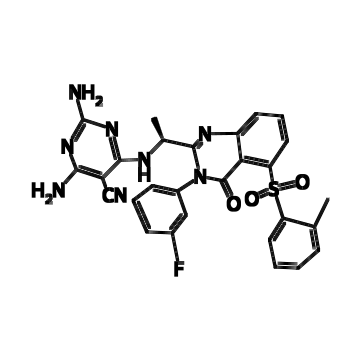 Cc1ccccc1S(=O)(=O)c1cccc2nc([C@H](C)Nc3nc(N)nc(N)c3C#N)n(-c3cccc(F)c3)c(=O)c12